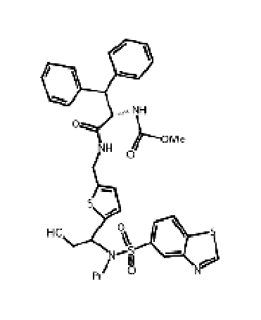 COC(=O)N[C@H](C(=O)NCc1ccc(C(CO)N(C(C)C)S(=O)(=O)c2ccc3scnc3c2)s1)C(c1ccccc1)c1ccccc1